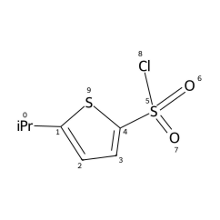 CC(C)c1ccc(S(=O)(=O)Cl)s1